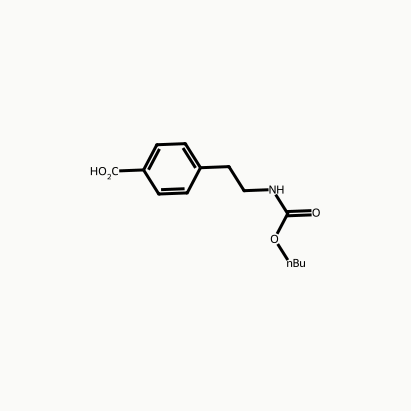 CCCCOC(=O)NCCc1ccc(C(=O)O)cc1